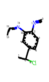 C=Nc1ccc(C(C)Cl)cc1/N=C\C